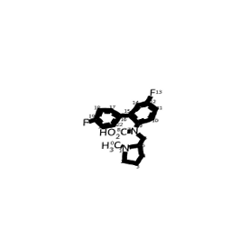 CN1CCCC1CN(C(=O)O)c1ccc(F)cc1-c1ccc(F)cc1